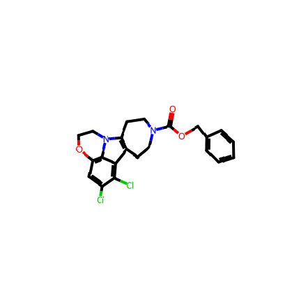 O=C(OCc1ccccc1)N1CCc2c(n3c4c(cc(Cl)c(Cl)c24)OCC3)CC1